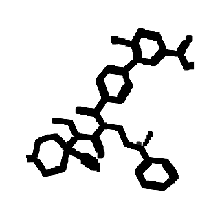 CCN(C(=O)N(CC[C@H](C)c1ccccc1)C(=O)c1ccc(-c2cc(C(=O)O)ccc2Cl)cc1)C1(C#N)CCNCC1